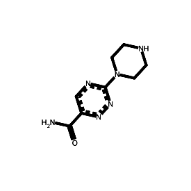 NC(=O)c1cnc(N2CCNCC2)nn1